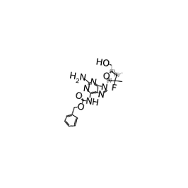 C[C@H]1[C@@H](CO)O[C@@H](n2cnc3c(NC(=O)OCc4ccccc4)nc(N)nc32)C1(C)F